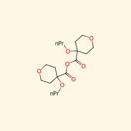 CCCOC1(C(=O)OC(=O)C2(OCCC)CCOCC2)CCOCC1